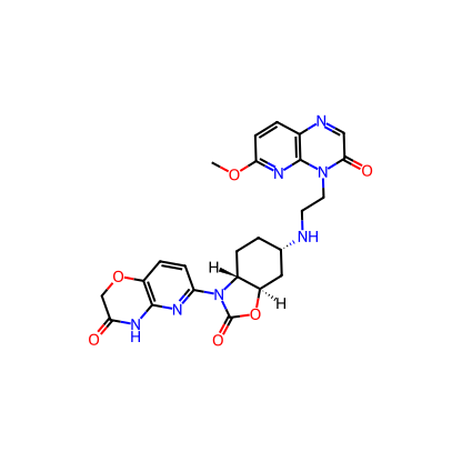 COc1ccc2ncc(=O)n(CCN[C@H]3CC[C@@H]4[C@@H](C3)OC(=O)N4c3ccc4c(n3)NC(=O)CO4)c2n1